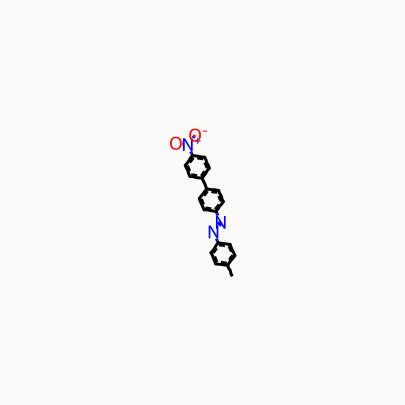 Cc1ccc(N=Nc2ccc(-c3ccc([N+](=O)[O-])cc3)cc2)cc1